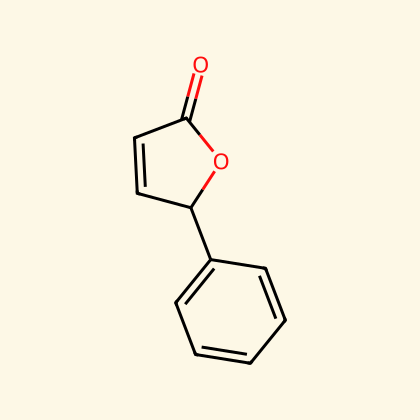 O=C1C=CC(c2ccccc2)O1